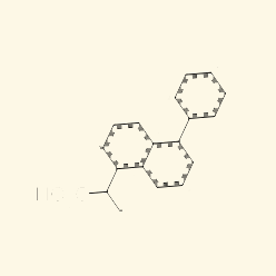 CC(C(=O)O)c1cccc2c(-c3ccccc3)cccc12